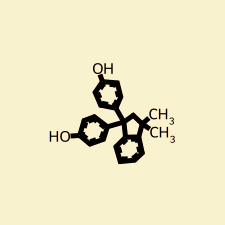 CC1(C)CC(c2ccc(O)cc2)(c2ccc(O)cc2)c2ccccc21